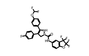 O=C(Nc1ccc2c(c1)C(F)(F)C(F)(F)O2)N1CC(c2ccc(F)cc2)=C(c2ccc(OC(F)F)cc2)N1